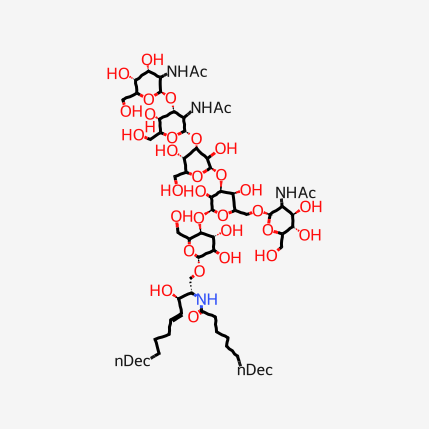 CCCCCCCCCCCCC/C=C/[C@@H](O)[C@H](CO[C@@H]1OC(CO)[C@@H](O[C@@H]2OC(CO[C@@H]3OC(CO)[C@@H](O)[C@H](O)C3NC(C)=O)[C@H](O)[C@H](O[C@H]3OC(CO)[C@H](O)[C@H](O[C@@H]4OC(CO)[C@H](O)[C@H](O[C@H]5OC(CO)[C@H](O)[C@H](O)C5NC(C)=O)C4NC(C)=O)C3O)C2O)[C@H](O)C1O)NC(=O)CCCCCCCCCCCCCCC